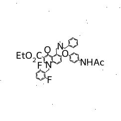 CCOC(=O)c1cn(Cc2c(F)cccc2F)c2ccc(Oc3ccc(NC(C)=O)cc3)c(CN(C)Cc3ccccc3)c2c1=O